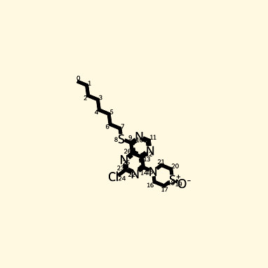 CCCCCCCCSc1ncnc2c(N3CC[S+]([O-])CC3)nc(Cl)nc12